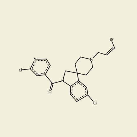 O=C(c1ccnc(Cl)c1)N1CC2(CCN(C/C=C\Br)CC2)c2cc(Cl)ccc21